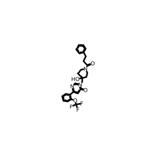 O=C(CCc1ccccc1)N1CCC(O)(Cn2cnc(-c3ccccc3OC(F)(F)F)cc2=O)CC1